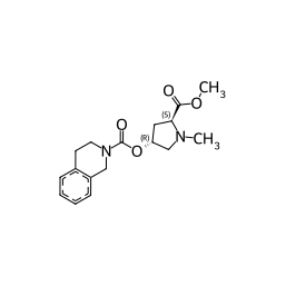 COC(=O)[C@@H]1C[C@@H](OC(=O)N2CCc3ccccc3C2)CN1C